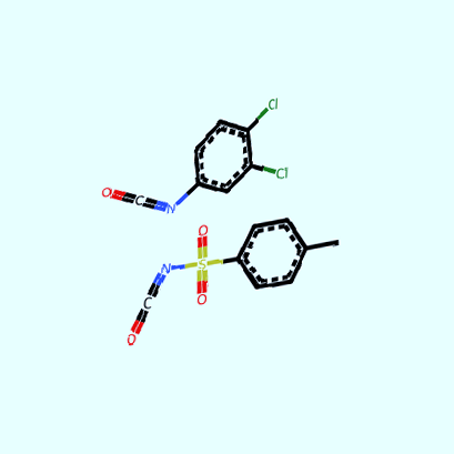 Cc1ccc(S(=O)(=O)N=C=O)cc1.O=C=Nc1ccc(Cl)c(Cl)c1